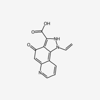 C=Cn1[nH]c(C(=O)O)c2c(=O)cc3ncccc3c1-2